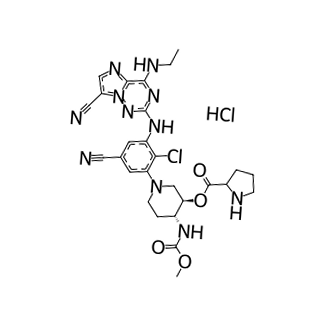 CCNc1nc(Nc2cc(C#N)cc(N3CC[C@@H](NC(=O)OC)[C@H](OC(=O)C4CCCN4)C3)c2Cl)nn2c(C#N)cnc12.Cl